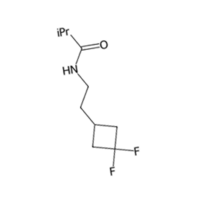 CC(C)C(=O)NCCC1CC(F)(F)C1